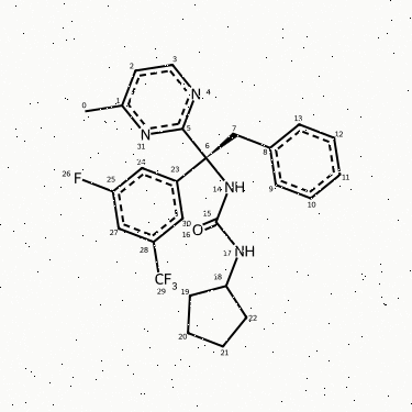 Cc1ccnc([C@](Cc2ccccc2)(NC(=O)NC2CCCC2)c2cc(F)cc(C(F)(F)F)c2)n1